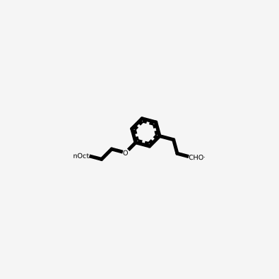 CCCCCCCCCCOc1cccc(CC[C]=O)c1